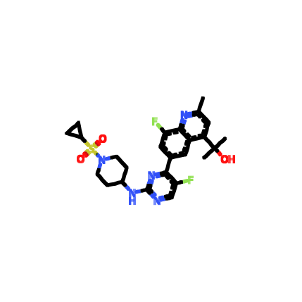 Cc1cc(C(C)(C)O)c2cc(-c3nc(NC4CCN(S(=O)(=O)C5CC5)CC4)ncc3F)cc(F)c2n1